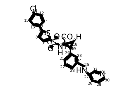 O=C(O)[C@@]1(NS(=O)(=O)c2ccc(-c3ccc(Cl)cc3)s2)C[C@H]1c1cccc(CNc2cccnc2)c1